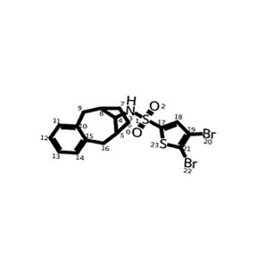 O=S(=O)(NC1C2CCC1Cc1ccccc1C2)c1cc(Br)c(Br)s1